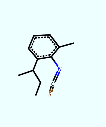 CCC(C)c1cccc(C)c1N=C=S